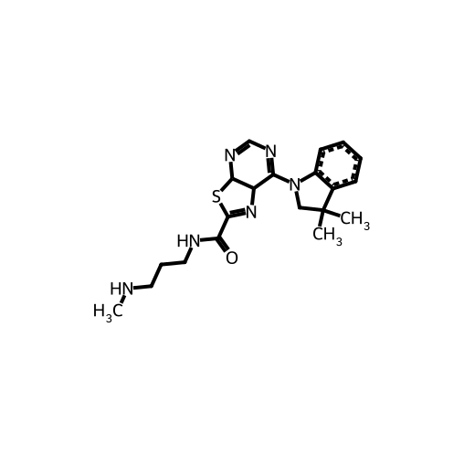 CNCCCNC(=O)C1=NC2C(N3CC(C)(C)c4ccccc43)=NC=NC2S1